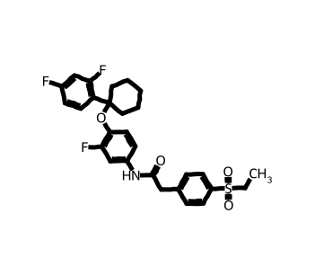 CCS(=O)(=O)c1ccc(CC(=O)Nc2ccc(OC3(c4ccc(F)cc4F)CCCCC3)c(F)c2)cc1